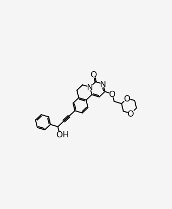 O=c1nc(OCC2COCCO2)cc2n1CCc1cc(C#CC(O)c3ccccc3)ccc1-2